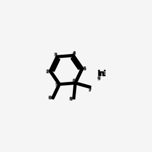 CC1C=CC=CC1(C)C.[In]